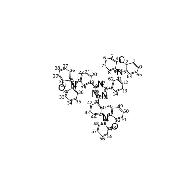 C1=CC2Oc3ccccc3N(c3cccc(-c4nc(-c5cccc(N6c7ccccc7Oc7ccccc76)c5)nc(-c5cccc(N6c7ccccc7OC7C=CC=CC76)c5)n4)c3)C2C=C1